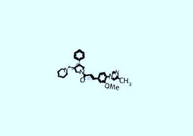 COc1cc(/C=C/C(=O)N2C[C@@H](CN3CCCCC3)[C@H](c3ccccc3)C2)ccc1-n1cnc(C)c1